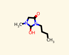 CCCCN1C(=O)CN(C)C1O